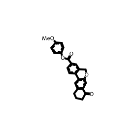 COc1ccc(OC(=O)c2ccc3c(c2)COc2cc4c(cc2-3)CCCC4=O)cc1